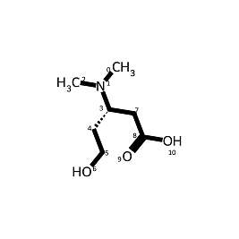 CN(C)[C@@H](CCO)CC(=O)O